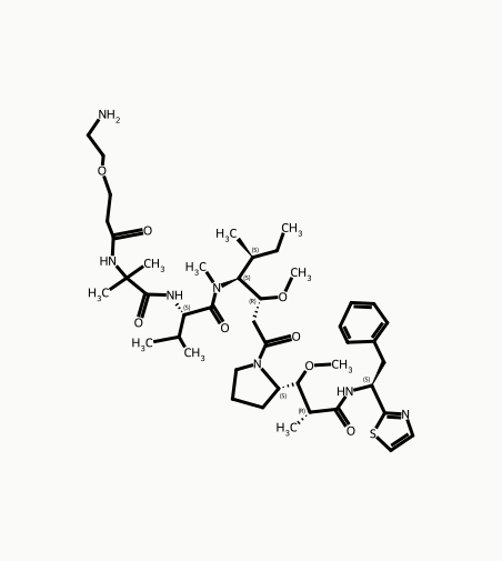 CC[C@H](C)[C@@H]([C@@H](CC(=O)N1CCC[C@H]1C(OC)[C@@H](C)C(=O)N[C@@H](Cc1ccccc1)c1nccs1)OC)N(C)C(=O)[C@@H](NC(=O)C(C)(C)NC(=O)CCOCCN)C(C)C